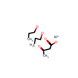 CC(=O)CC(=O)[O-].CCC[O-].CCC[O-].[Al+3]